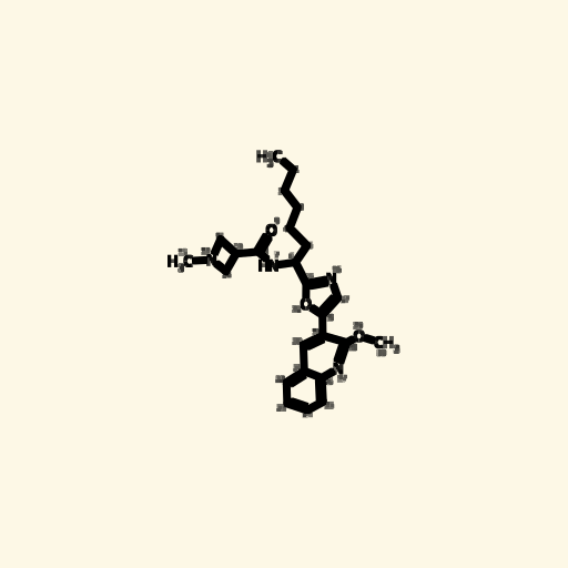 CCCCCCC(NC(=O)C1CN(C)C1)c1ncc(-c2cc3ccccc3nc2OC)o1